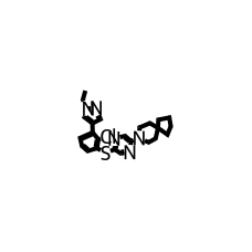 CCn1cc(-c2cccc(Sc3cnc(N4CCC5(CCCC5)CC4)cn3)c2Cl)cn1